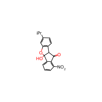 CC(C)c1ccc2c(c1)OC1(O)c3cccc([N+](=O)[O-])c3C(=O)C21